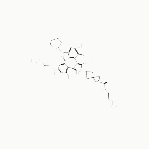 CCCCOC(=O)N1CC2(CC(n3nc(-c4ccc(NCCOC)cc4F)c(-c4c(Cl)c(C)cc5c4cnn5C4CCCCO4)c3C)C2)C1